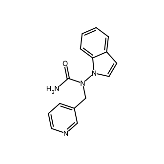 NC(=O)N(Cc1cccnc1)n1ccc2ccccc21